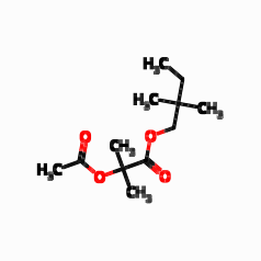 CCC(C)(C)COC(=O)C(C)(C)OC(C)=O